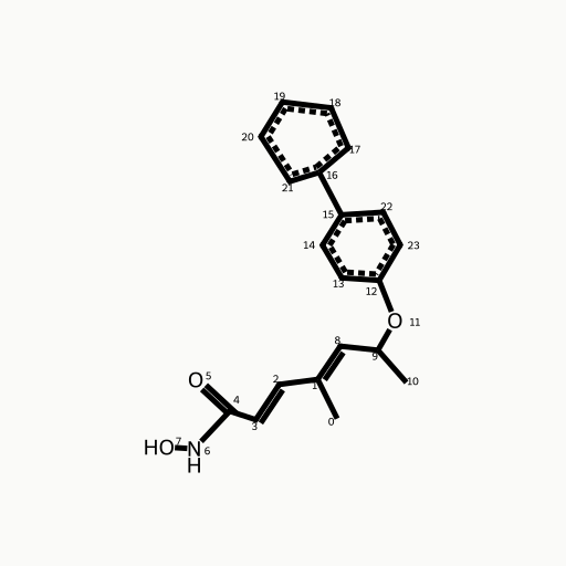 CC(/C=C/C(=O)NO)=C\C(C)Oc1ccc(-c2ccccc2)cc1